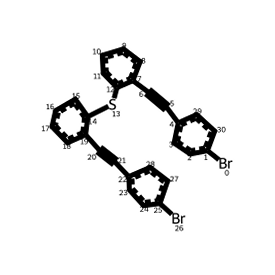 Brc1ccc(C#Cc2ccccc2Sc2ccccc2C#Cc2ccc(Br)cc2)cc1